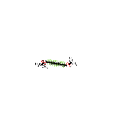 C=C(C)C(=O)OCC(F)(F)C(F)(F)C(F)(F)C(F)(F)C(F)(F)C(F)(F)C(F)(F)C(F)(F)C(F)(F)C(F)(F)COC(=O)C(C)C